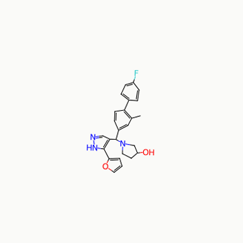 Cc1cc(C(c2cn[nH]c2-c2ccco2)N2CCC(O)C2)ccc1-c1ccc(F)cc1